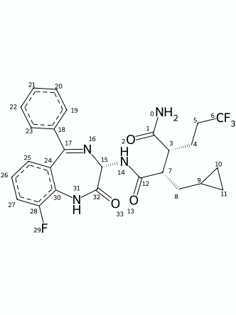 NC(=O)[C@H](CCC(F)(F)F)[C@H](CC1CC1)C(=O)N[C@H]1N=C(c2ccccc2)c2cccc(F)c2NC1=O